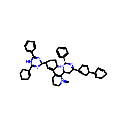 C=[N+]1CCCC(C2=CC(C3N=C(C4=CCCCC4)NC(c4ccccc4)=N3)CCC2)=C1C1CC(C2=CCC(C3=CCCC=C3)C=C2)=N[C@H](c2ccccc2)N1